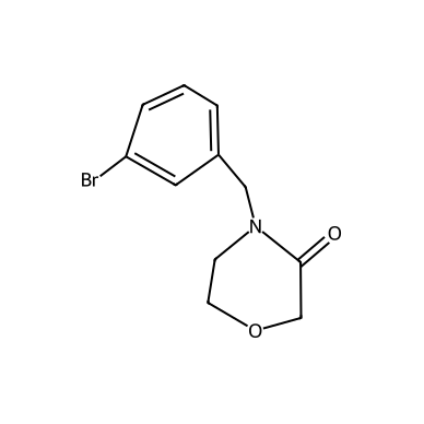 O=C1COCCN1Cc1cccc(Br)c1